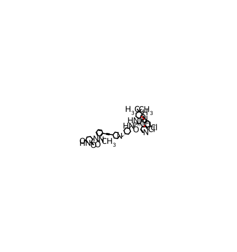 Cn1c(=O)n(C2CCC(=O)NC2=O)c2cccc(C#CC3CCN(C[C@H]4CC[C@H](NC(=O)[C@@H]5NC6(CCC(C)(C)CC6)[C@@]6(C(=O)Nc7cc(Cl)ccc76)[C@H]5c5ccnc(Cl)c5F)CC4)CC3)c21